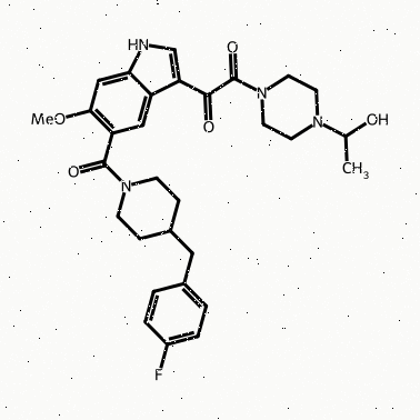 COc1cc2[nH]cc(C(=O)C(=O)N3CCN(C(C)O)CC3)c2cc1C(=O)N1CCC(Cc2ccc(F)cc2)CC1